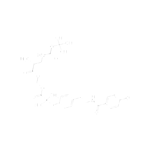 CC(CNC(=O)OC(C)(C)C)C(=O)OCOC(=O)C(C)(C)Oc1ccc(CCNC(=O)c2ccc(Cl)cc2)cc1